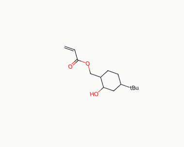 C=CC(=O)OCC1CCC(C(C)(C)C)CC1O